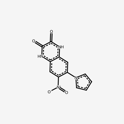 O=c1[nH]c2cc(-n3cccc3)c([N+](=O)[O-])cc2[nH]c1=O